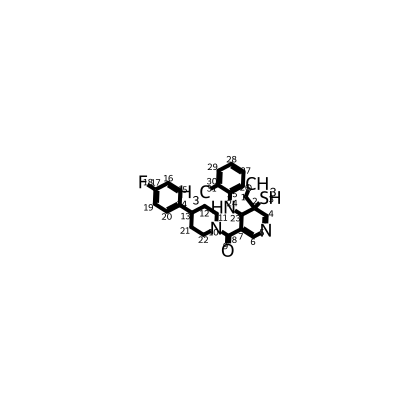 CCC1(S)C=NC=C(C(=O)N2CCC(c3ccc(F)cc3)CC2)C1Nc1ccccc1C